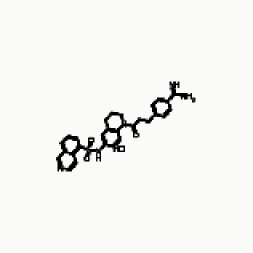 Cl.N=C(N)c1ccc(CCC(=O)N2CCCc3cc(NS(=O)(=O)c4cccc5cnccc45)ccc32)cc1